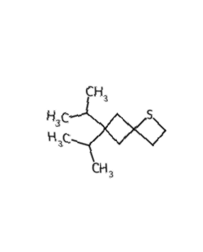 CC(C)C1(C(C)C)CC2(CCS2)C1